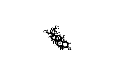 CCC(=O)O[C@]1(C(=O)CCl)[C@@H](C)C[C@H]2[C@@H]3CC[C@@H]4CC(=O)CC[C@]4(C)[C@@]3(Cl)[C@@H](Cl)C[C@@]21C